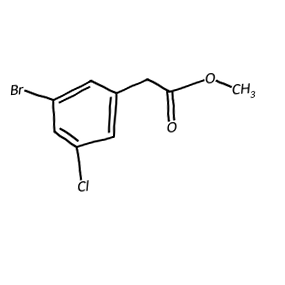 COC(=O)Cc1cc(Cl)cc(Br)c1